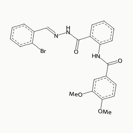 COc1ccc(C(=O)Nc2ccccc2C(=O)N/N=C/c2ccccc2Br)cc1OC